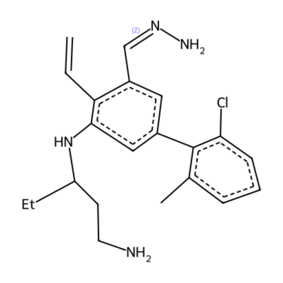 C=Cc1c(/C=N\N)cc(-c2c(C)cccc2Cl)cc1NC(CC)CCN